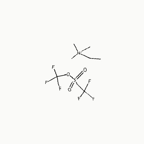 CC[N+](C)(C)C.O=S(=O)(OC(F)(F)F)C(F)(F)F